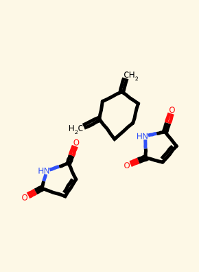 C=C1CCCC(=C)C1.O=C1C=CC(=O)N1.O=C1C=CC(=O)N1